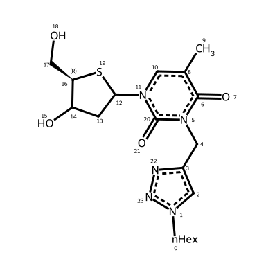 CCCCCCn1cc(Cn2c(=O)c(C)cn(C3CC(O)[C@@H](CO)S3)c2=O)nn1